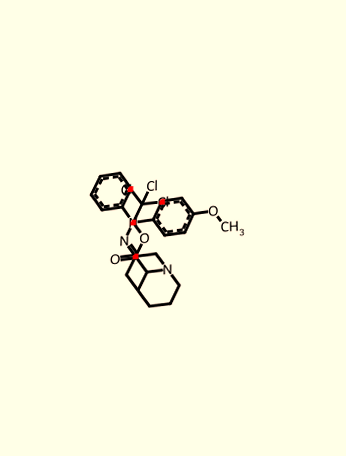 COc1ccc(N(N=C2CC3CCCN(C2)C3C(=O)OCC(Cl)(Cl)Cl)c2ccccc2)cc1